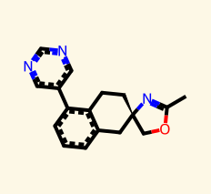 CC1=N[C@]2(CCc3c(cccc3-c3cncnc3)C2)CO1